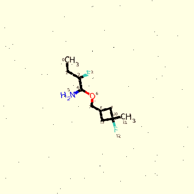 CCC(F)C(N)OCC1CC(C)(F)C1